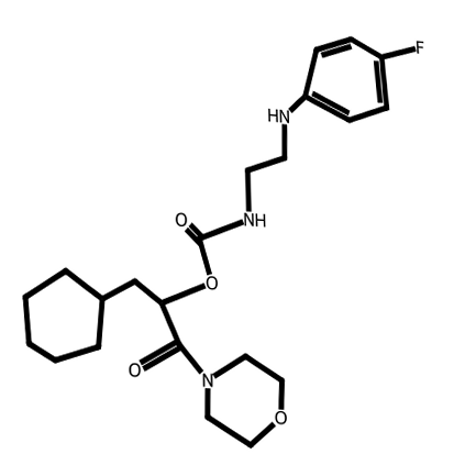 O=C(NCCNc1ccc(F)cc1)OC(CC1CCCCC1)C(=O)N1CCOCC1